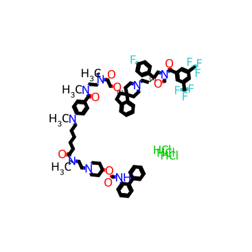 CN(CCN1CCC(OC(=O)Nc2ccccc2-c2ccccc2)CC1)C(=O)CCCCCN(C)c1ccc(C(=O)N(C)CCN(C)C(=O)CO[C@H]2Cc3ccccc3C23CCN(CC[C@]2(c4ccc(F)cc4)CN(C(=O)c4cc(C(F)(F)F)cc(C(F)(F)F)c4)CO2)CC3)cc1.Cl.Cl.Cl